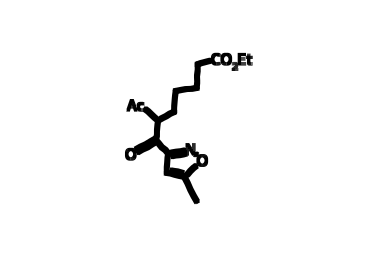 CCOC(=O)CCCCC(C(C)=O)C(=O)c1cc(C)on1